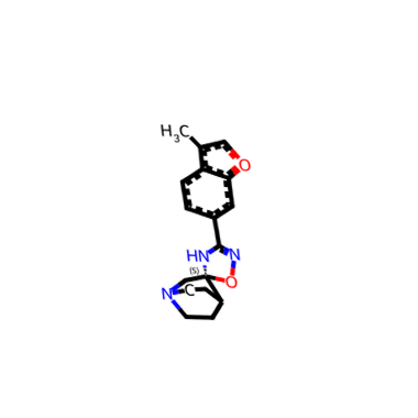 Cc1coc2cc(C3=NO[C@@]4(CN5CCC4CC5)N3)ccc12